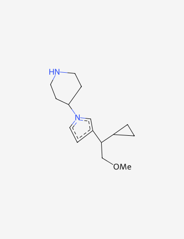 COCC(c1ccn(C2CCNCC2)c1)C1CC1